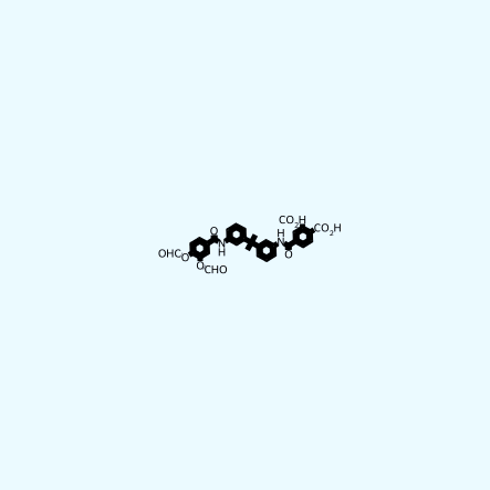 CC(C)(c1cccc(NC(=O)c2ccc(OC=O)c(OC=O)c2)c1)c1cccc(NC(=O)c2ccc(C(=O)O)c(C(=O)O)c2)c1